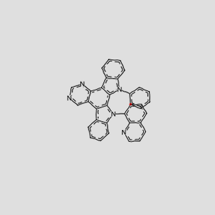 c1ccc(-n2c3ccccc3c3c4ncncc4c4c5ccccc5n(-c5cccc6cccnc56)c4c32)cc1